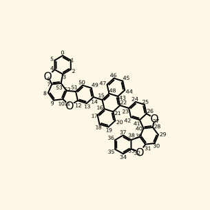 c1ccc2c(c1)oc1ccc3oc4cc(-c5c6ccccc6c(-c6ccc7oc8ccc9oc%10ccccc%10c9c8c7c6)c6ccccc56)ccc4c3c12